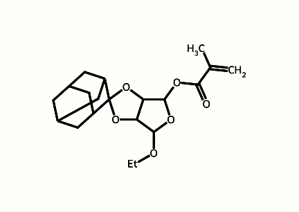 C=C(C)C(=O)OC1OC(OCC)C2OC3(OC12)C1CC2CC(C1)CC3C2